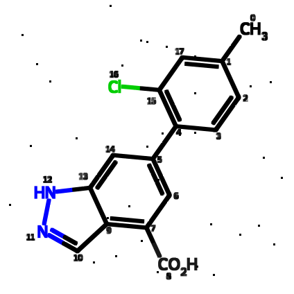 Cc1ccc(-c2cc(C(=O)O)c3cn[nH]c3c2)c(Cl)c1